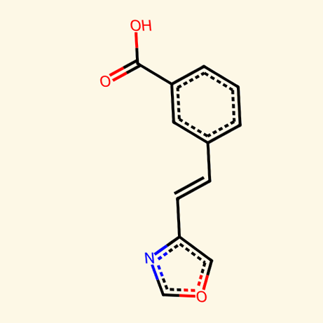 O=C(O)c1cccc(C=Cc2cocn2)c1